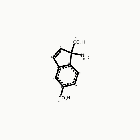 NC1(C(=O)O)C=Cc2cc(C(=O)O)ccc21